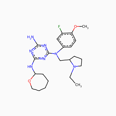 CCN1CCCC1CN(c1ccc(OC)c(F)c1)c1nc(N)nc(NC2CCCCCO2)n1